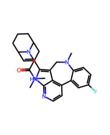 CN(C)C(=O)CN1C2C=C(c3[nH]c4nccc5c4c3CN(C)c3ccc(F)cc3-5)CC1CCC2